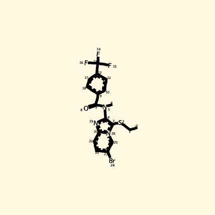 CCSc1c(N(C)C(=O)c2ccc(C(F)(F)F)cc2)nc2ccc(Br)cn12